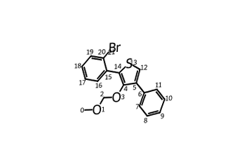 COCOc1c(-c2ccccc2)csc1-c1ccccc1Br